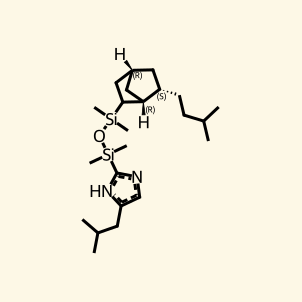 CC(C)CC[C@H]1C[C@H]2CC([Si](C)(C)O[Si](C)(C)c3ncc(CC(C)C)[nH]3)[C@@H]1C2